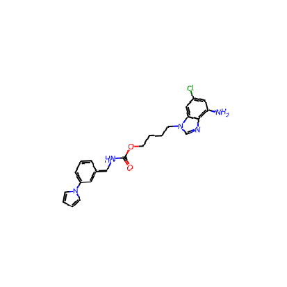 Nc1cc(Cl)cc2c1ncn2CCCCOC(=O)NCc1cccc(-n2cccc2)c1